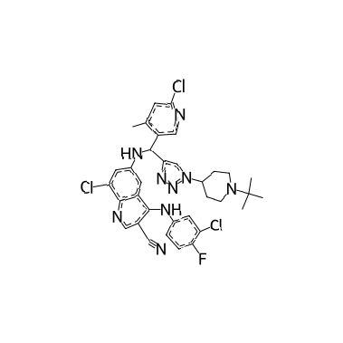 Cc1cc(Cl)ncc1C(Nc1cc(Cl)c2ncc(C#N)c(Nc3ccc(F)c(Cl)c3)c2c1)c1cn(C2CCN(C(C)(C)C)CC2)nn1